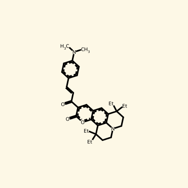 CCC1(CC)CCN2CCC(CC)(CC)c3c2c1cc1cc(C(=O)C=Cc2ccc(N(C)C)cc2)c(=O)oc31